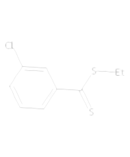 CCSC(=S)c1cccc(Cl)c1